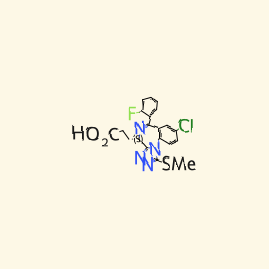 CSc1nnc2n1-c1ccc(Cl)cc1C(c1ccccc1F)=N[C@H]2CCC(=O)O